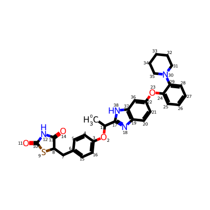 CC(Oc1ccc(CC2SC(=O)NC2=O)cc1)c1nc2ccc(Oc3ccccc3N3CCCCC3)cc2[nH]1